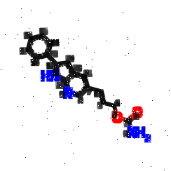 NC(=O)OCC=Cc1cnc2[nH]c(-c3ccccc3)cc2c1